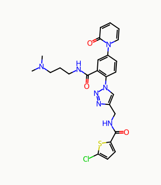 CN(C)CCCNC(=O)c1cc(-n2ccccc2=O)ccc1-n1cc(CNC(=O)c2ccc(Cl)s2)nn1